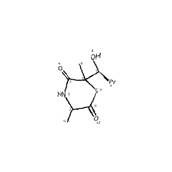 CC1NC(=O)C(C)([C@@H](O)C(C)C)SC1=O